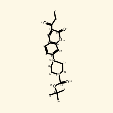 CCC(=O)c1cc2ccc(N3CCN(C(=O)OC(C)(C)C)CC3)cc2oc1=O